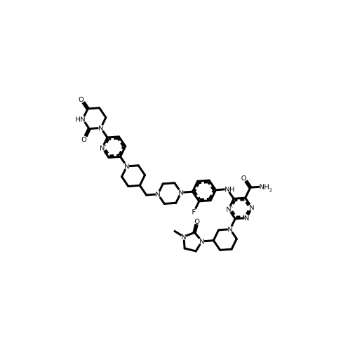 CN1CCN(C2CCCN(c3nnc(C(N)=O)c(Nc4ccc(N5CCN(CC6CCN(c7ccc(N8CCC(=O)NC8=O)nc7)CC6)CC5)c(F)c4)n3)C2)C1=O